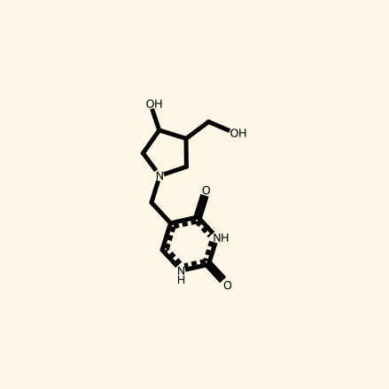 O=c1[nH]cc(CN2CC(O)C(CO)C2)c(=O)[nH]1